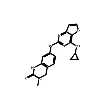 C[C@@H]1Cc2ccc(Nc3nc(NC4CC4)c4occc4n3)cc2NC1=O